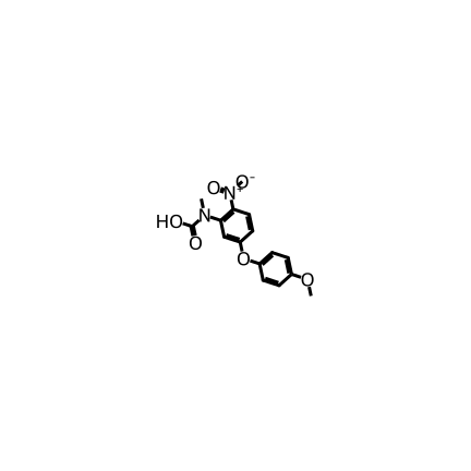 COc1ccc(Oc2ccc([N+](=O)[O-])c(N(C)C(=O)O)c2)cc1